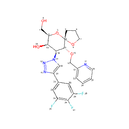 OC[C@H]1O[C@@]2(CCCO2)[C@H](OCc2ccccn2)[C@@H](n2cc(-c3cc(F)c(F)c(F)c3)nn2)[C@H]1O